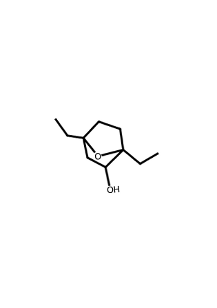 CCC12CCC(CC)(O1)C(O)C2